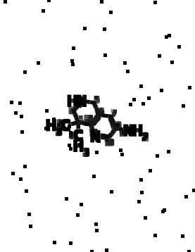 CC1(C)CNCc2cc(N)cnc21